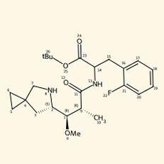 CO[C@@H]([C@@H]1CC2(CC2)CN1)[C@@H](C)C(=O)NC(Cc1ccccc1F)C(=O)OC(C)(C)C